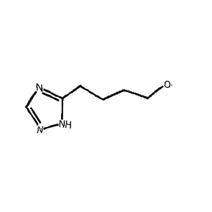 [O]CCCCc1ncn[nH]1